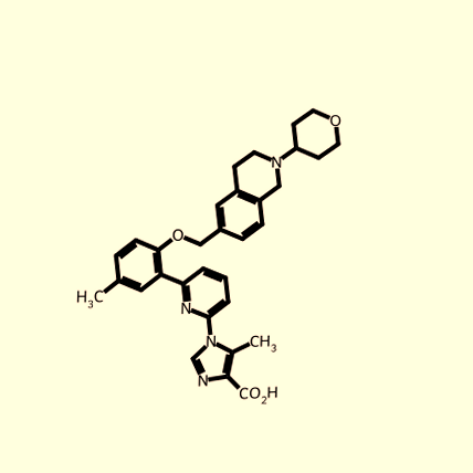 Cc1ccc(OCc2ccc3c(c2)CCN(C2CCOCC2)C3)c(-c2cccc(-n3cnc(C(=O)O)c3C)n2)c1